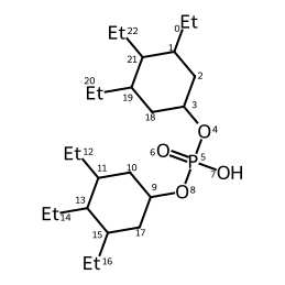 CCC1CC(OP(=O)(O)OC2CC(CC)C(CC)C(CC)C2)CC(CC)C1CC